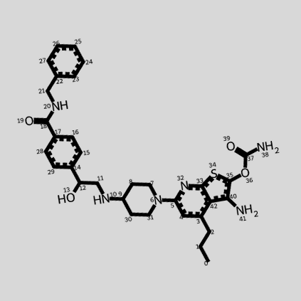 CCCc1cc(N2CCC(NCC(O)c3ccc(C(=O)NCc4ccccc4)cc3)CC2)nc2sc(OC(N)=O)c(N)c12